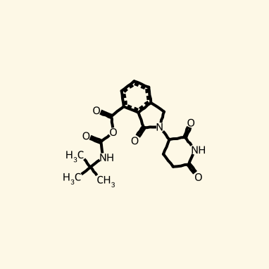 CC(C)(C)NC(=O)OC(=O)c1cccc2c1C(=O)N(C1CCC(=O)NC1=O)C2